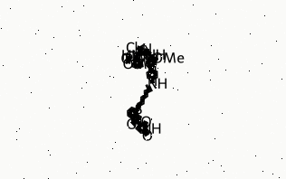 COc1cc(N2CCC(NCCCCCCCSc3cccc4c3CN(C3CCC(=O)NC3=O)C4=O)CC2)ccc1Nc1ncc(Cl)c(Nc2ccccc2P(=O)(OC)OC)n1